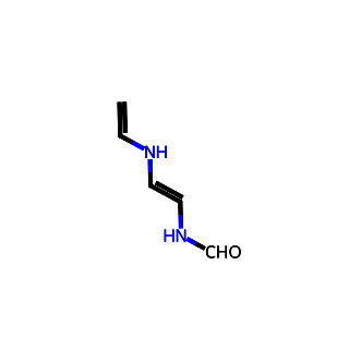 C=CNC=CNC=O